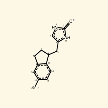 O=c1[nH]cc(CC2CCc3cc(Br)ccc32)[nH]1